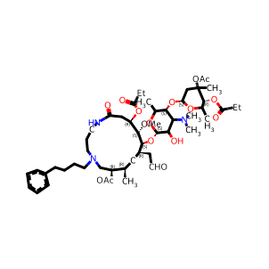 CCC(=O)O[C@@H]1C(C)O[C@@H](O[C@@H]2C(C)O[C@@H](O[C@H]3[C@@H](CC=O)C[C@@H](C)[C@@H](OC(C)=O)CN(CCCCc4ccccc4)CCCNC(=O)C[C@@H](OC(=O)CC)[C@@H]3OC)C(O)C2N(C)C)CC1(C)OC(C)=O